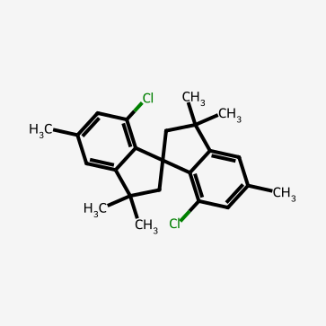 Cc1cc(Cl)c2c(c1)C(C)(C)CC21CC(C)(C)c2cc(C)cc(Cl)c21